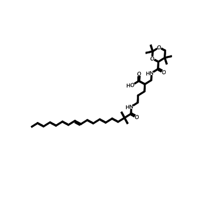 CCCCCCCC=CCCCCCCC(C)(C)C(=O)NCCCC(CNC(=O)C1OC(C)(C)OCC1(C)C)C(=O)O